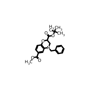 COC(=O)c1ccc2c(c1)N(Cc1ccccc1)CC(C(=O)OC(C)(C)C)O2